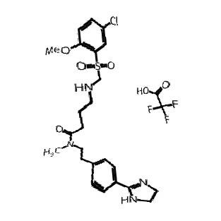 COc1ccc(Cl)cc1S(=O)(=O)CNCCCC(=O)N(C)CCc1ccc(C2=NCCN2)cc1.O=C(O)C(F)(F)F